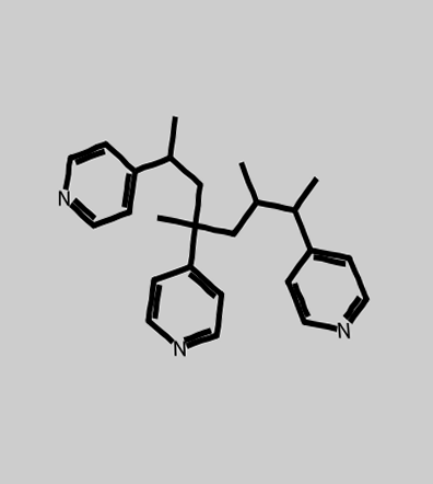 CC(CC(C)(CC(C)C(C)c1ccncc1)c1ccncc1)c1ccncc1